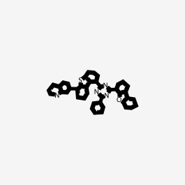 c1ccc(-c2nc(-c3cccc4c3oc3ccccc34)nc(-c3cccc4sc5c(-c6ccc7cccnc7c6)cccc5c34)n2)cc1